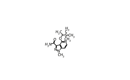 CC(Oc1nccc2c1c(C(N)=O)nn2C)[Si](C)(C)C